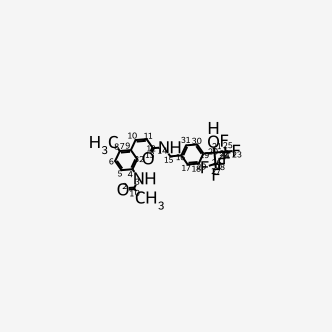 CC(=O)Nc1ccc(C)c(/C=C\C(=O)NCc2ccc(C(O)(C(F)(F)F)C(F)(F)F)cc2)c1